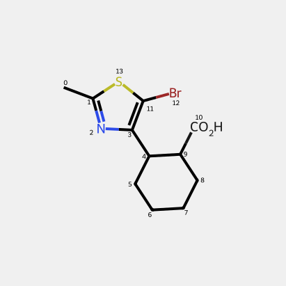 Cc1nc(C2CCCCC2C(=O)O)c(Br)s1